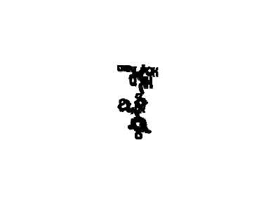 Cc1cc(-c2nc3ccc(OCCN[C@H](C(=O)OCC(C)C)[C@@H](C)O)cc3n2CC2CCOCC2)cn(C)c1=O